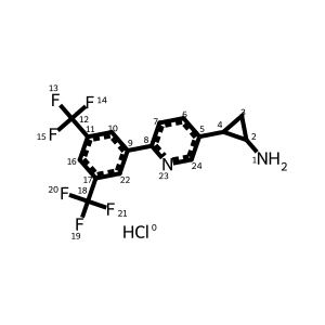 Cl.NC1CC1c1ccc(-c2cc(C(F)(F)F)cc(C(F)(F)F)c2)nc1